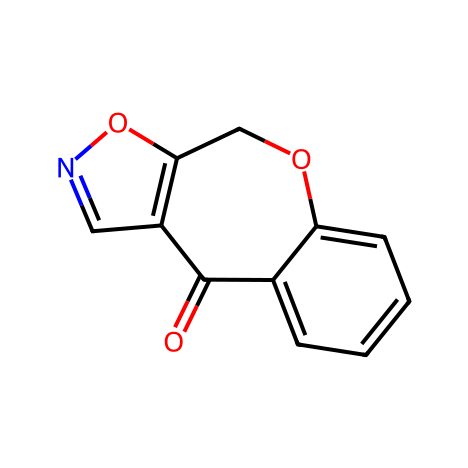 O=C1c2ccccc2OCc2oncc21